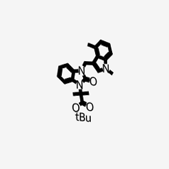 Cc1cccc2c1c(Cn1c(=O)n(C(C)(C)C(=O)OC(C)(C)C)c3ccccc31)cn2C